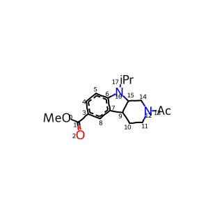 COC(=O)c1ccc2c(c1)C1CCN(C(C)=O)CC1N2C(C)C